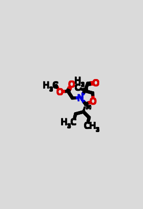 CCC(CC)[C@H]1OC[C@@](C)(C=O)N1CC(=O)OC